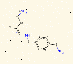 C/C(=C/NCc1ccc(CN)cc1)CCN